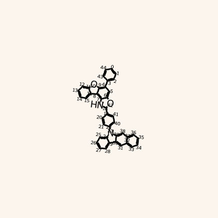 c1ccc(-c2cc3c(c4c2oc2ccccc24)NC(c2ccc(-n4c5ccccc5c5cc6ccccc6cc54)cc2)O3)cc1